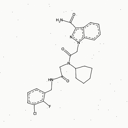 NC(=O)c1nn(CC(=O)N(CC(=O)NCc2cccc(Cl)c2F)C2CCCCC2)c2ccccc12